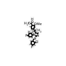 COc1cc(C(C)(C)c2cnc(SCc3ccc(F)cc3Cl)n2-c2ccc(F)cc2)ccc1C(C)O